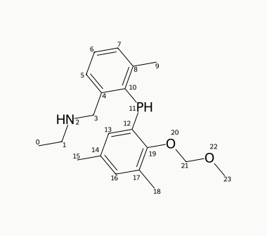 CCNCc1cccc(C)c1Pc1cc(C)cc(C)c1OCOC